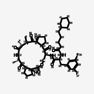 C[C@@H]1NC(=O)[C@H](C)N(C)C(=O)[C@@H]2CCCN2C(=O)[C@@H](NC(=O)[C@H](Cc2cc(F)cc(F)c2)NC(=O)CCCCC2CCCCC2)COC(=O)[C@@H]2CCCN2C1=O